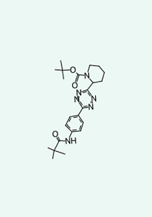 CC(C)(C)OC(=O)N1CCCCC1c1nnc(-c2ccc(NC(=O)C(C)(C)C)cc2)nn1